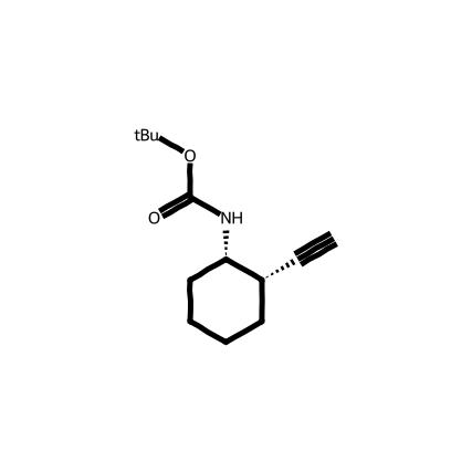 C#C[C@@H]1CCCC[C@@H]1NC(=O)OC(C)(C)C